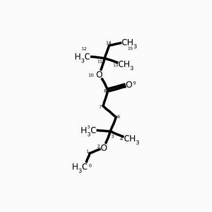 CCOC(C)(C)CCC(=O)OC(C)(C)CC